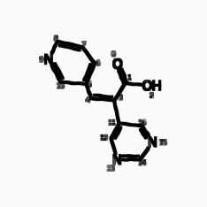 O=C(O)/C(=C\c1cccnc1)c1cncnc1